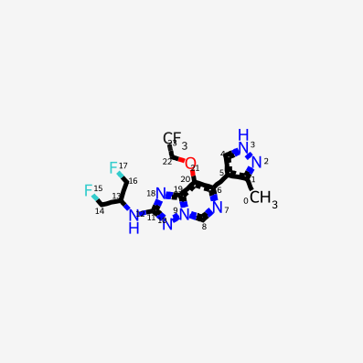 Cc1n[nH]cc1-c1ncn2nc(NC(CF)CF)nc2c1OCC(F)(F)F